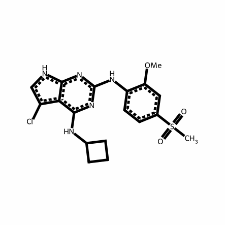 COc1cc(S(C)(=O)=O)ccc1Nc1nc(NC2CCC2)c2c(Cl)c[nH]c2n1